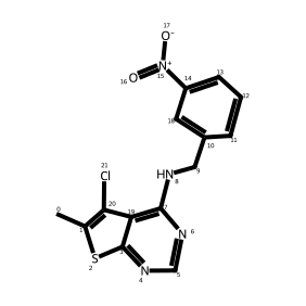 Cc1sc2ncnc(NCc3cccc([N+](=O)[O-])c3)c2c1Cl